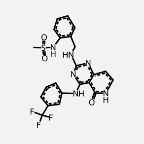 CS(=O)(=O)Nc1ccccc1CNc1nc(Nc2cccc(C(F)(F)F)c2)c2c(=O)[nH]ccc2n1